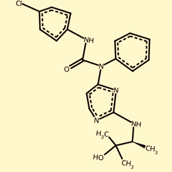 C[C@H](Nc1nccc(N(C(=O)Nc2ccc(Cl)cc2)c2ccccc2)n1)C(C)(C)O